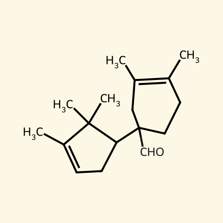 CC1=CCC(C2(C=O)CCC(C)=C(C)C2)C1(C)C